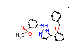 CS(=O)(=O)c1cccc(Nc2nccc(-c3ccccc3OCc3ccccc3)n2)c1